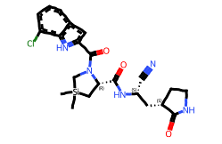 C[Si]1(C)C[C@@H](C(=O)N[C@H](C#N)C[C@@H]2CCNC2=O)N(C(=O)c2cc3cccc(Cl)c3[nH]2)C1